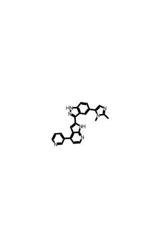 Cc1ncc(-c2ccc3[nH]nc(-c4cc5c(-c6cccnc6)ccnc5[nH]4)c3c2)n1C